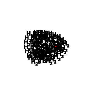 Bc1c(B)c(B)c2c(oc3c2c(B)c(B)c2c4c(B)c(B)c(B)c(B)c4n(-c4cc(-n5c6c(B)c(B)c(B)c(B)c6c6c(B)c(B)c7c(oc8c(B)c(B)c(B)c(B)c87)c65)c(C#N)c(-n5c6c(B)c(B)c(B)c(B)c6c6c(B)c(B)c7c(oc8c(B)c(B)c(B)c(B)c87)c65)c4C#N)c32)c1B